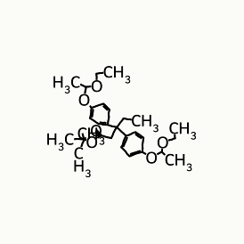 CCOC(C)Oc1ccc(C(CC)(CC(=O)OC(C)(C)C)c2ccc(OC(C)OCC)cc2)cc1